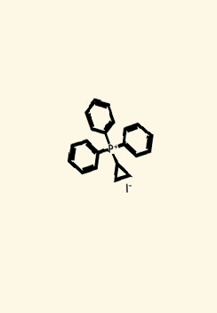 [I-].c1ccc([P+](c2ccccc2)(c2ccccc2)C2CC2)cc1